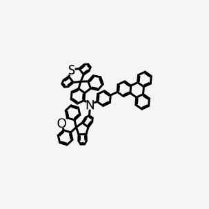 c1ccc2c(c1)Oc1ccccc1C21c2ccccc2-c2ccc(N(c3ccc(-c4ccc5c6ccccc6c6ccccc6c5c4)cc3)c3cccc4c3-c3ccccc3C43c4ccccc4Sc4ccccc43)cc21